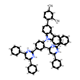 N#Cc1ccc(-c2ccc3c(c2)c2ccccc2n3-c2ccc(-c3nc(-c4ccccc4)cc(-c4ccccc4)n3)cc2-c2cc(-c3ccccc3)nc(-c3ccccc3)n2)c(C#N)c1